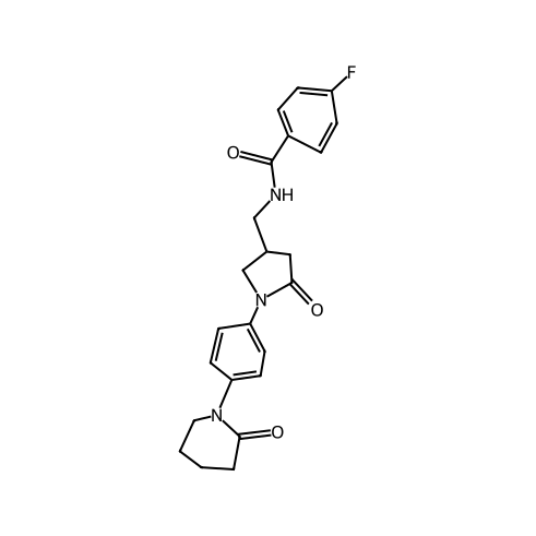 O=C(NCC1CC(=O)N(c2ccc(N3CCCCC3=O)cc2)C1)c1ccc(F)cc1